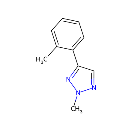 Cc1ccccc1-c1cnn(C)n1